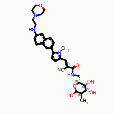 C[C@H]1C(O)O[C@H](CNC(=O)/C(C#N)=C/c2ccc(-c3ccc4cc(NCCN5CCOCC5)ccc4c3)n2C)[C@@H](O)[C@@H]1O